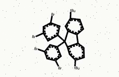 CC(C)(C)c1ccc2c(c1)C(c1cc(Br)cc(Br)c1)(c1cc(Br)cc(Br)c1)c1cc(C(C)(C)C)ccc1-2